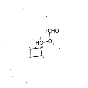 C1CCC1.O=COO